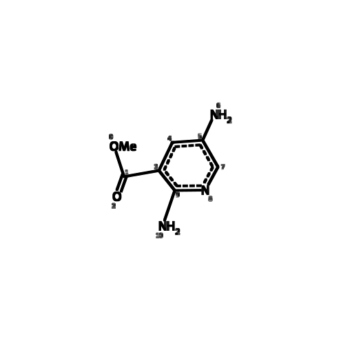 COC(=O)c1cc(N)cnc1N